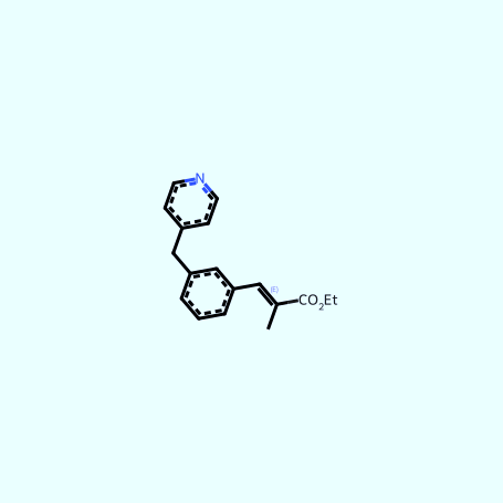 CCOC(=O)/C(C)=C/c1cccc(Cc2ccncc2)c1